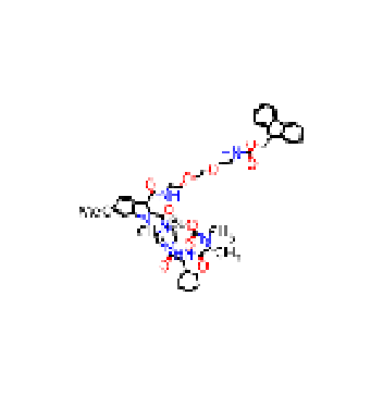 COc1ccc2c(C(=O)NCCOCCOCCNC(=O)OCC3c4ccccc4-c4ccccc43)c(C(=O)N3CCN(C(=O)[C@@H](NC(=O)[C@H](C)N(C)C(=O)OC(C)(C)C)C4CCCCC4)CC3)n(C)c2c1